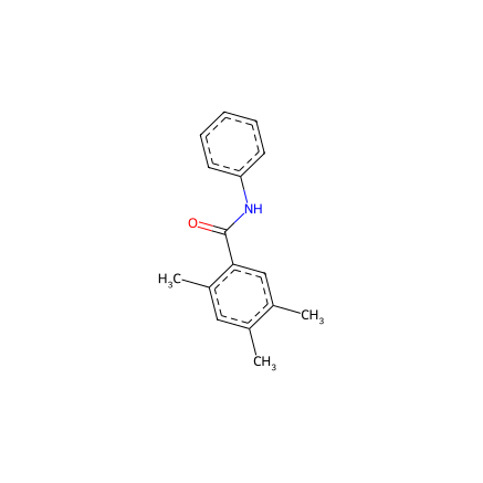 Cc1cc(C)c(C(=O)Nc2ccccc2)cc1C